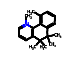 Cc1cccc2c1-c1c(ccc[n+]1C)C(C)(C)C2(C)C